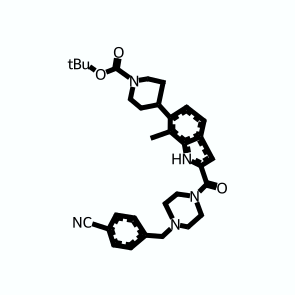 Cc1c(C2CCN(C(=O)OC(C)(C)C)CC2)ccc2cc(C(=O)N3CCN(Cc4ccc(C#N)cc4)CC3)[nH]c12